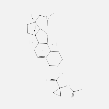 CC(=O)OC1(C(=O)O[C@H]2CC[C@@]3(C)C(=CC[C@H]4[C@@H]5CC[C@@H]6[C@H](C)N(C)C[C@@]65CC[C@@H]43)C2)CC1